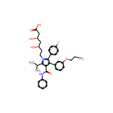 CCCOc1cccc(-c2c(C(=O)Nc3ccccc3)c(C(C)C)n(CC[C@@H](O)C[C@@H](O)CC(=O)O)c2-c2ccc(F)cc2)c1